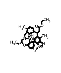 CCOC(=O)CC(c1ccc(C)c(CN2C[C@@H](CC)Oc3ccccc3S2(O)O)c1)c1ccc2c(nnn2C)c1C